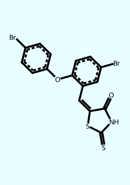 O=C1NC(=S)SC1=Cc1cc(Br)ccc1Oc1ccc(Br)cc1